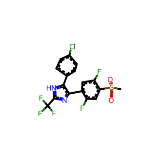 CS(=O)(=O)c1cc(F)c(-c2nc(C(F)(F)F)[nH]c2-c2ccc(Cl)cc2)cc1F